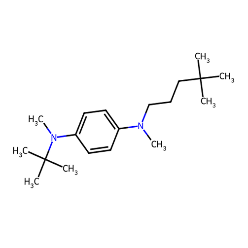 CN(CCCC(C)(C)C)c1ccc(N(C)C(C)(C)C)cc1